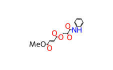 COC(=O)/C=C/C(=O)OCC(=O)C(=O)Nc1ccccc1